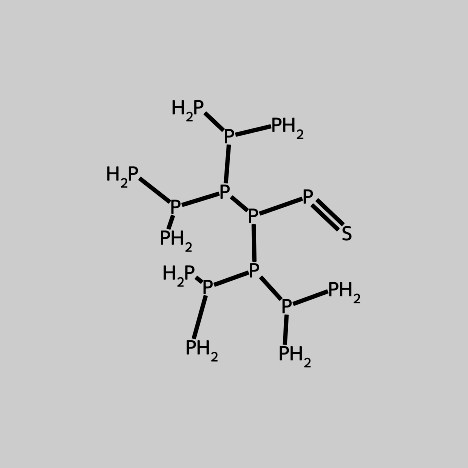 PP(P)P(P(P)P)P(P=S)P(P(P)P)P(P)P